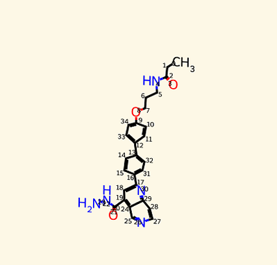 CCC(=O)NCCCOc1ccc(-c2ccc(-c3cc(C(=O)NN)c4cnccc4n3)cc2)cc1